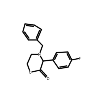 O=C1OCCN(Cc2ccccc2)C1c1ccc(F)cc1